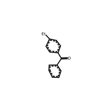 C[CH]c1ccc(C(=O)c2ccccc2)cc1